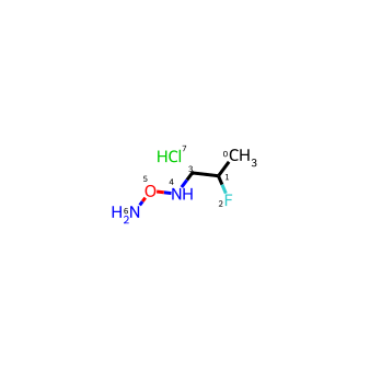 CC(F)CNON.Cl